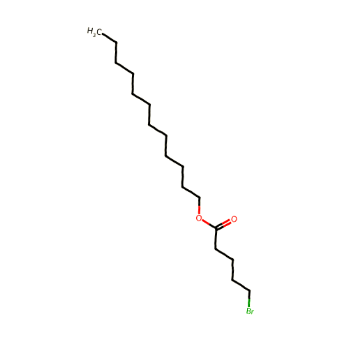 CCCCCCCCCCCCOC(=O)CCCCBr